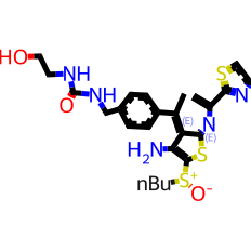 C=C(/N=C1/SC([S+]([O-])CCCC)=C(N)/C1=C(/C)c1ccc(CNC(=O)NCCO)cc1)c1nccs1